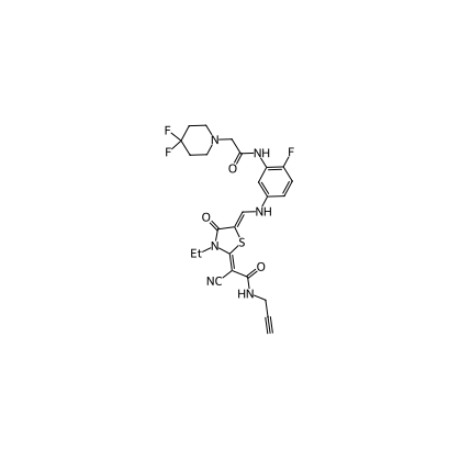 C#CCNC(=O)C(C#N)=c1sc(=CNc2ccc(F)c(NC(=O)CN3CCC(F)(F)CC3)c2)c(=O)n1CC